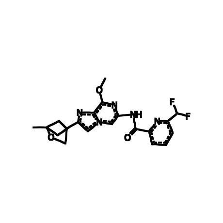 COc1nc(NC(=O)c2cccc(C(F)F)n2)cn2cc(C34COC(C)(C3)C4)nc12